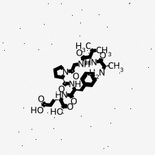 CC(C)[C@H](NC(=O)[C@H](C)N)C(=O)NCC(=O)N1CCC[C@H]1C(=O)N[C@@H](Cc1ccccc1)C(=O)N[C@@H](CCC(=O)O)C(=O)O